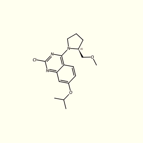 COC[C@@H]1CCCN1c1nc(Cl)nc2cc(OC(C)C)ccc12